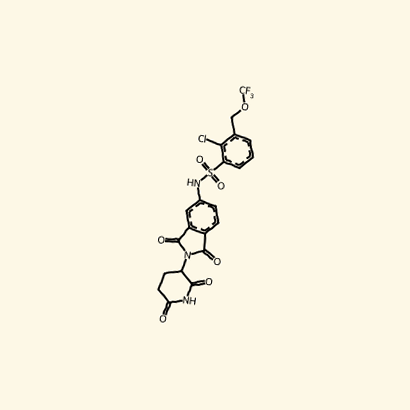 O=C1CCC(N2C(=O)c3ccc(NS(=O)(=O)c4cccc(COC(F)(F)F)c4Cl)cc3C2=O)C(=O)N1